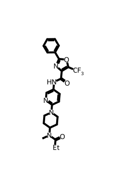 CCC(=O)N(C)C1CCN(c2ccc(NC(=O)c3nc(-c4ccccc4)oc3C(F)(F)F)cn2)CC1